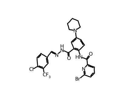 O=C(Nc1ccc(N2CCCCC2)cc1C(=O)NN=Cc1ccc(Cl)c(C(F)(F)F)c1)c1cccc(Br)n1